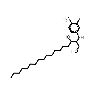 CCCCCCCCCCCCCCCC(O)C(CO)Nc1ccc(N)c(C)c1